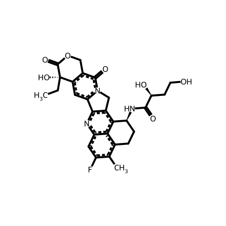 CC[C@@]1(O)C(=O)OCc2c1cc1n(c2=O)Cc2c-1nc1cc(F)c(C)c3c1c2[C@@H](NC(=O)[C@@H](O)CCO)CC3